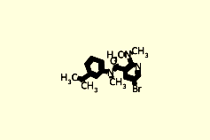 CC(C)c1cccc(N(C)C(=O)c2cc(Br)cnc2N(C)C)c1